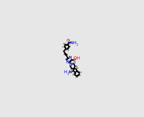 NC(=O)c1ccc(CC#Cc2cnc(N3CCC4(CC3)Cc3ccccc3[C@H]4N)c(CO)n2)cc1